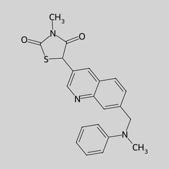 CN1C(=O)SC(c2cnc3cc(CN(C)c4ccccc4)ccc3c2)C1=O